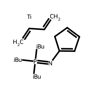 C=CC=C.CCC(C)P(=NC1=CC=CC1)(C(C)CC)C(C)CC.[Ti]